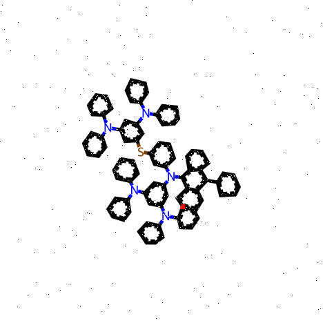 c1ccc(-c2c3ccccc3c(N(c3cccc(Sc4cc(N(c5ccccc5)c5ccccc5)cc(N(c5ccccc5)c5ccccc5)c4)c3)c3cc(N(c4ccccc4)c4ccccc4)cc(N(c4ccccc4)c4ccccc4)c3)c3ccccc23)cc1